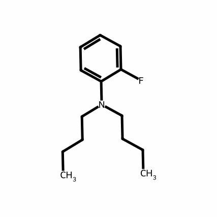 CCCCN(CCCC)c1ccccc1F